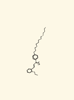 CCCCCCCCCCCCCCc1ccc(C(=S)C=Cc2ccccc2CCC)cc1